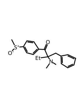 CCC(Cc1ccccc1)(C(=O)c1ccc([S+](C)[O-])cc1)N(C)C